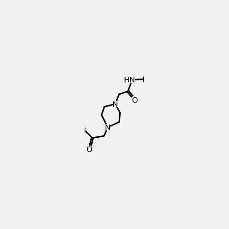 O=C(I)CN1CCN(CC(=O)NI)CC1